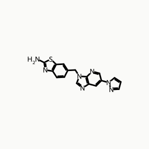 Nc1nc2ccc(Cn3cnc4cc(-n5cccn5)cnc43)cc2s1